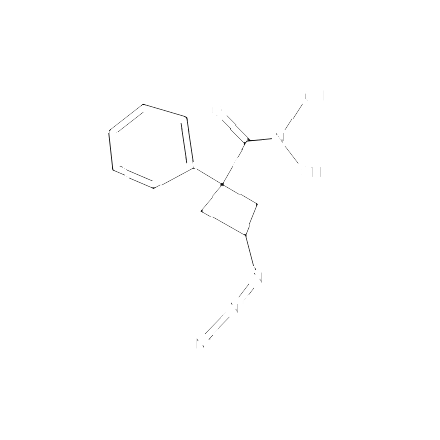 CN(C)C(=O)C1(c2ccccc2)CC(N=[N+]=[N-])C1